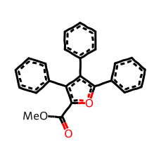 COC(=O)c1oc(-c2ccccc2)c(-c2ccccc2)c1-c1ccccc1